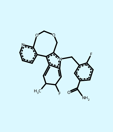 CC1C=c2c3c(n(Cc4cc(C(N)=O)ccc4F)c2=CC1F)COCOc1ncccc1-3